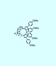 COc1ccc(-c2cc3c(s2)C(c2ccc(OC)cc2)(c2ccc(OC)cc2)c2sc(-c4ccc(OC)cc4)cc2C(C)C(F)(P)C(F)(F)C(F)(P)C3C)cc1